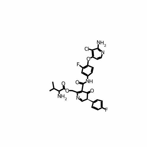 CC(C)C(N)C(=O)OCC1=C(C(=O)Nc2ccc(Oc3ccnc(N)c3Cl)c(F)c2)C(=O)[C@@H](c2ccc(F)cc2)C=N1